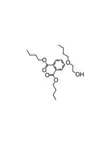 CCCCOC(=O)c1ccccc1C(=O)OCCCC.CCCCOCCO